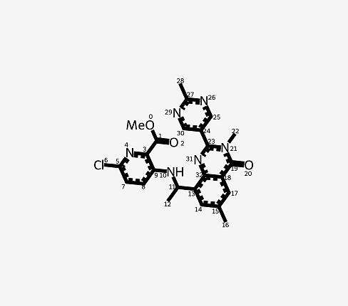 COC(=O)c1nc(Cl)ccc1NC(C)c1cc(C)cc2c(=O)n(C)c(-c3cnc(C)nc3)nc12